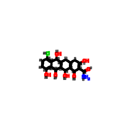 NC(=O)C1=C(O)CC2=C(C1=O)C(O)C1=C(C2)C(O)c2c(Cl)ccc(O)c2C1=O